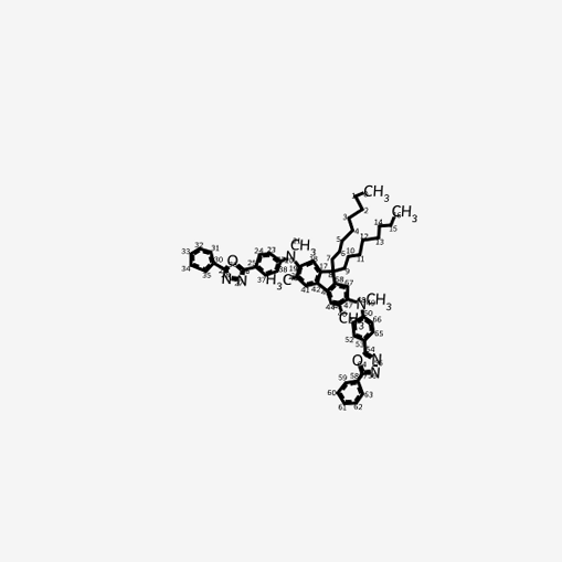 CCCCCCCCC1(CCCCCCCC)c2cc(N(C)c3ccc(-c4nnc(-c5ccccc5)o4)cc3)c(C)cc2-c2cc(C)c(N(C)c3ccc(-c4nnc(-c5ccccc5)o4)cc3)cc21